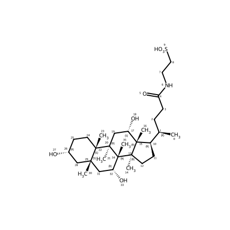 C[C@H](CCC(=O)NCCS(=O)(=O)O)[C@H]1CC[C@]2(C)[C@]1(C)[C@@H](O)C[C@]1(C)[C@@]3(C)CC[C@@H](O)C[C@@]3(C)C[C@@H](O)[C@@]21C